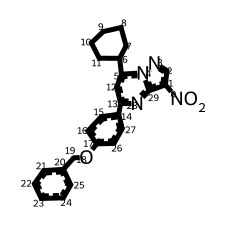 O=[N+]([O-])c1cnn2c(C3CCCCC3)cc(-c3ccc(OCc4ccccc4)cc3)nc12